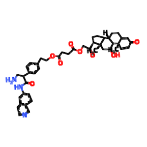 C[C@]12C=CC(=O)C=C1CC[C@@H]1C2[C@@H](O)C[C@@]2(C)C1CC[C@@H]2C(=O)COC(=O)CCC(=O)OCCc1ccc(C(CN)C(=O)Nc2ccc3cnccc3c2)cc1